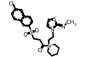 C/N=c1\sccn1CC[N+]1(C(=O)CCS(=O)(=O)c2ccc3cc(Cl)ccc3c2)CCCCC1